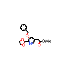 COC(=O)Cc1cnc(C2OCCO2)c(OCc2ccccc2)c1